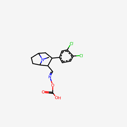 CN1C2CCC1C(C=NOC(=O)O)C(c1ccc(Cl)c(Cl)c1)C2